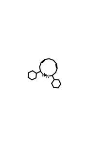 C1=CCC(C2CCCCC2)N=NC(C2CCCCC2)CC=CCC1